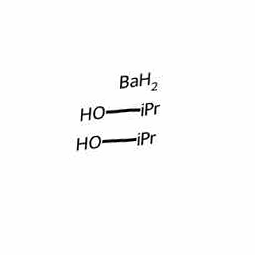 CC(C)O.CC(C)O.[BaH2]